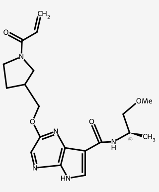 C=CC(=O)N1CCC(COc2cnc3[nH]cc(C(=O)N[C@H](C)COC)c3n2)C1